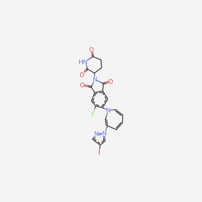 O=C1CCC(N2C(=O)c3cc(F)c(N4C=CC=CC(n5cc(I)cn5)=C4)cc3C2=O)C(=O)N1